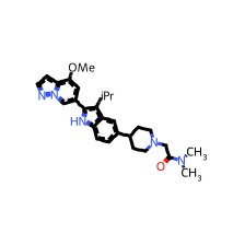 COc1cc(-c2[nH]c3ccc(C4CCN(CC(=O)N(C)C)CC4)cc3c2C(C)C)cn2nccc12